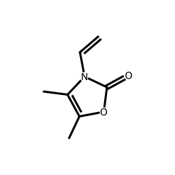 C=Cn1c(C)c(C)oc1=O